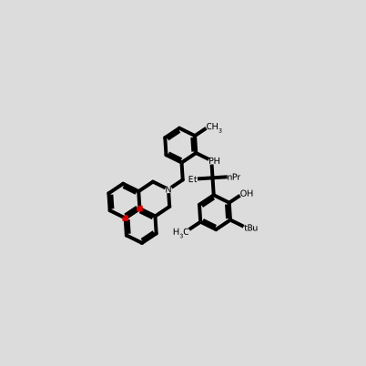 CCCC(CC)(Pc1c(C)cccc1CN(Cc1ccccc1)Cc1ccccc1)c1cc(C)cc(C(C)(C)C)c1O